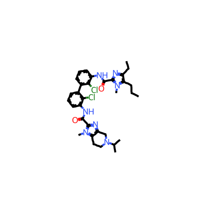 CCCc1c(CC)nc(C(=O)Nc2cccc(-c3cccc(NC(=O)c4nc5c(n4C)CCN(C(C)C)C5)c3Cl)c2Cl)n1C